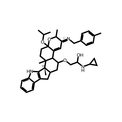 Cc1ccc(C/N=C2\C=C3C4C(OCC(O)NC5CC5)CC5Cc6c([nH]c7ccccc67)[C@]5(C)C4(C)CCC3(OC(C)C)OC2C)cc1